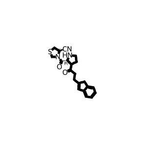 N#C[C@@H]1CSCN1C(=O)[C@@H]1NCCC1C(=O)CCC1=Cc2ccccc2C1